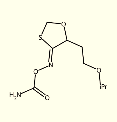 CC(C)OCCC1OCSC1=NOC(N)=O